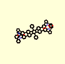 CC12CCCC1c1cc(-c3ccc4c5c(-c6ccccc6)c6c7ccc(-c8ccc9c(c8)C8CCCC8(C)N9c8ccccc8)c8c(-c9ccc%10c(c9)C9CCCC9(C)N%10c9ccccc9)ccc(c6c(-c6ccccc6)c5c5ccc(-c6ccc9c(c6)C6CCCC6(C)N9c6ccccc6)c3c45)c87)ccc1N2c1ccccc1